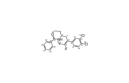 CCC(CC(=C(F)F)c1ccc(Cl)c(Cl)c1)NC(=O)c1ccccc1